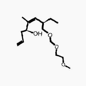 C=CC[C@H](O)/C(C)=C\[C@@H](CC)COCOCCOC